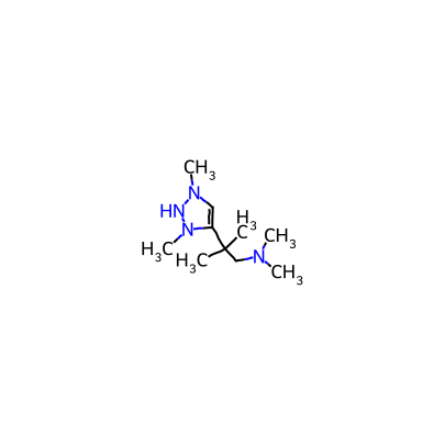 CN(C)CC(C)(C)C1=CN(C)NN1C